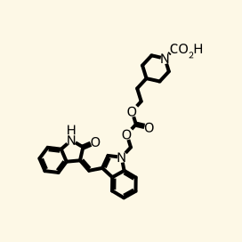 O=C(OCCC1CCN(C(=O)O)CC1)OCn1cc(/C=C2\C(=O)Nc3ccccc32)c2ccccc21